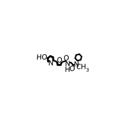 CN(C(=O)CNC(=O)c1ccc(-c2ccc(O)cn2)o1)C1CCCCC1